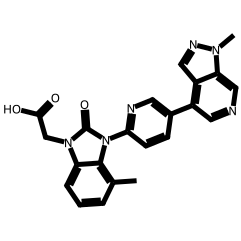 Cc1cccc2c1n(-c1ccc(-c3cncc4c3cnn4C)cn1)c(=O)n2CC(=O)O